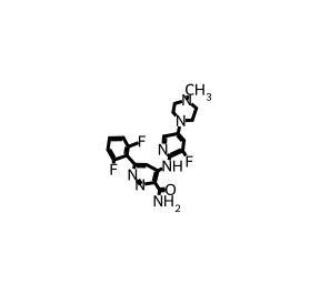 CN1CCN(c2cnc(Nc3cc(-c4c(F)cccc4F)nnc3C(N)=O)c(F)c2)CC1